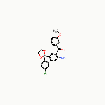 COc1cccc(C(=O)c2cc(C3(c4ccc(Cl)cc4)OCCO3)ccc2N)c1